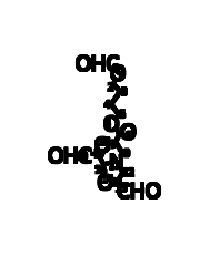 O=COCCCCOC(=O)CCN(CC(=O)C=O)CC(=O)C=O